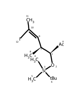 CC(=O)[C@@H](O[Si](C)(C)C(C)(C)C)[C@@H](C)C=C(C)I